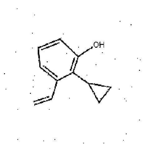 C=Cc1cccc(O)c1C1CC1